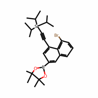 CC(C)[Si](C#Cc1cc(B2OC(C)(C)C(C)(C)O2)cc2cccc(Br)c12)(C(C)C)C(C)C